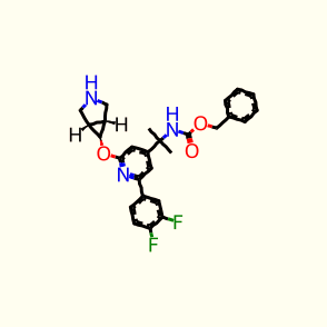 CC(C)(NC(=O)OCc1ccccc1)c1cc(O[C@H]2[C@@H]3CNC[C@@H]32)nc(-c2ccc(F)c(F)c2)c1